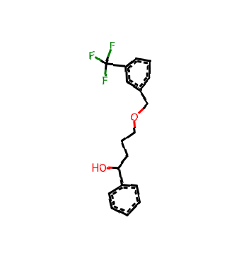 OC(CCCOCc1cccc(C(F)(F)F)c1)c1ccccc1